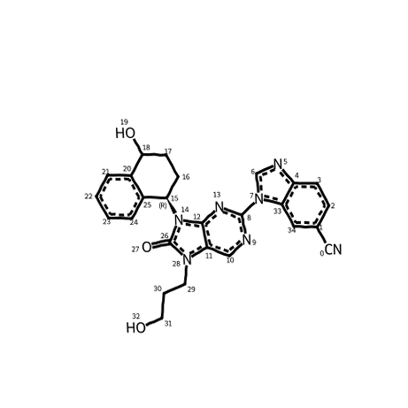 N#Cc1ccc2ncn(-c3ncc4c(n3)n([C@@H]3CCC(O)c5ccccc53)c(=O)n4CCCO)c2c1